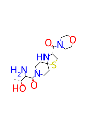 C[C@@H](O)[C@H](N)C(=O)N1CCC2(CC1)N[C@H](C(=O)N1CCOCC1)CS2